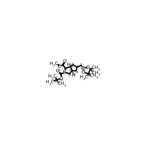 COC(=O)C1[C@@H]2CC(CB3OC(C)(C)C(C)(C)O3)C[C@@H]2CN1C(=O)OC(C)(C)C